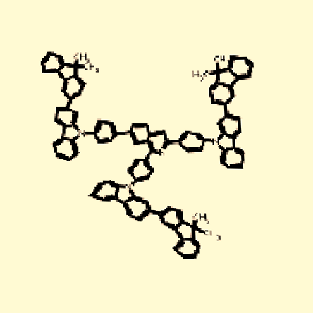 CC1(C)c2ccccc2-c2cc(-c3ccc4c5ccccc5n(-c5ccc(-c6ccc7cc(-c8ccc(-n9c%10ccccc%10c%10ccc(-c%11ccc%12c(c%11)-c%11ccccc%11C%12(C)C)cc%109)cc8)nc(-c8ccc(-n9c%10ccccc%10c%10ccc(-c%11ccc%12c(c%11)-c%11ccccc%11C%12(C)C)cc%109)cc8)c7c6)cc5)c4c3)ccc21